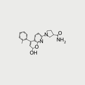 Cc1ccccc1C1=CC(O)Oc2nc(N3CCC(C(N)=O)C3)ccc21